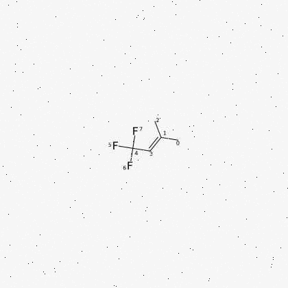 CC(C)=CC(F)(F)F